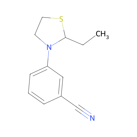 CCC1SCCN1c1cccc(C#N)c1